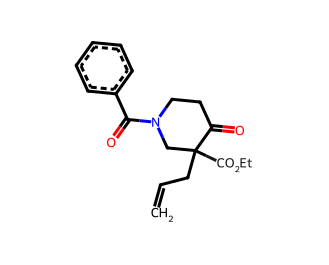 C=CCC1(C(=O)OCC)CN(C(=O)c2ccccc2)CCC1=O